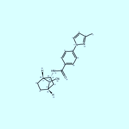 Cc1ccn(-c2ccc(C(=O)N[C@@H]3C[C@@H]4CC[C@H]3N4C#N)cc2)n1